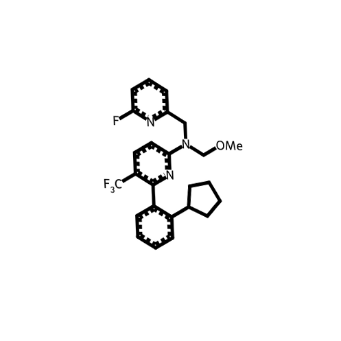 COCN(Cc1cccc(F)n1)c1ccc(C(F)(F)F)c(-c2ccccc2C2CCCC2)n1